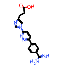 N=C(N)c1ccc(-c2ccc(-n3cnc(CCC(=O)O)c3)nn2)cc1